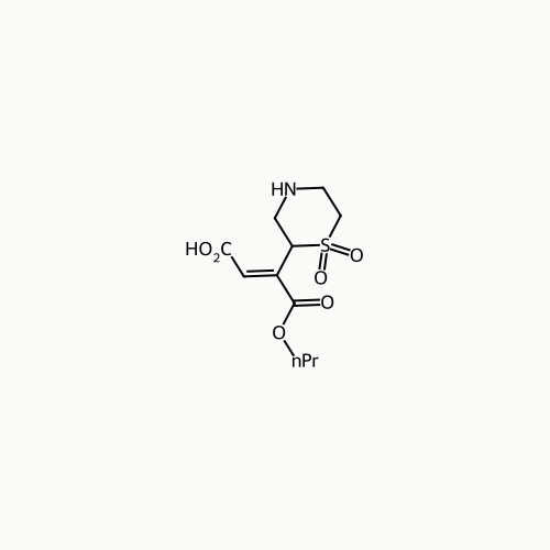 CCCOC(=O)/C(=C/C(=O)O)C1CNCCS1(=O)=O